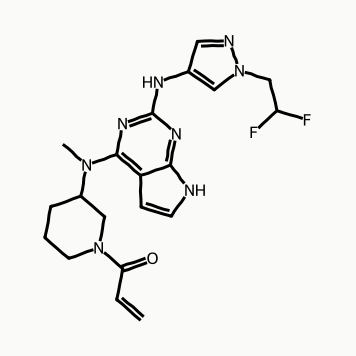 C=CC(=O)N1CCCC(N(C)c2nc(Nc3cnn(CC(F)F)c3)nc3[nH]ccc23)C1